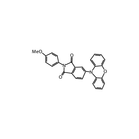 COc1ccc(N2C(=O)c3ccc(N4c5ccccc5Oc5ccccc54)cc3C2=O)cc1